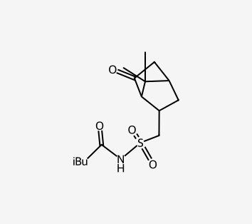 CCC(C)C(=O)NS(=O)(=O)CC1CC2CC(=O)C1C2(C)C